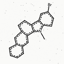 Cn1c2ccc(Br)cc2c2ccc3cc4ccccc4cc3c21